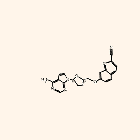 N#Cc1ccc2ccc(OC[C@@H]3CC[C@H](n4ccc5c(N)ncnc54)O3)cc2n1